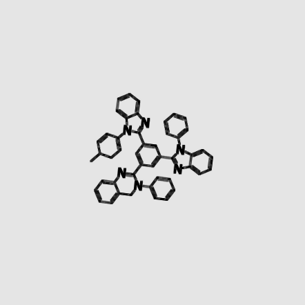 CC1C=CC(n2c(-c3cc(C4=Nc5ccccc5CN4c4ccccc4)cc(-c4nc5ccccc5n4-c4ccccc4)c3)nc3ccccc32)=CC1